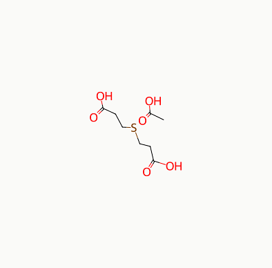 CC(=O)O.O=C(O)CCSCCC(=O)O